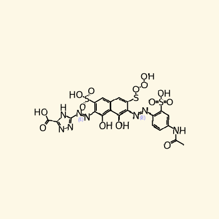 CC(=O)Nc1ccc(/N=N/c2c(SOOO)cc3cc(S(=O)(=O)O)c(/N=N/c4nnc(C(=O)O)[nH]4)c(O)c3c2O)c(S(=O)(=O)O)c1